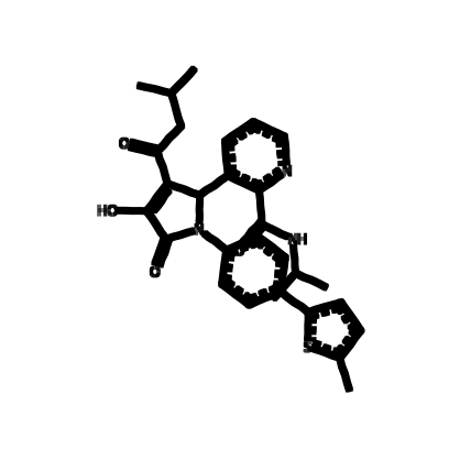 Cc1ccc(-c2ccc(N3C(=O)C(O)=C(C(=O)CC(C)C)C3c3cccnc3C(=O)NC(C)C)cc2)s1